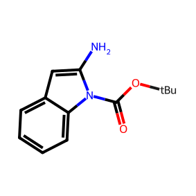 CC(C)(C)OC(=O)n1c(N)cc2ccccc21